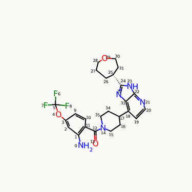 Nc1cc(OC(F)(F)F)ccc1C(=O)N1CCC(c2ccnc3[nH]c([C@@H]4CCCOCC4)nc23)CC1